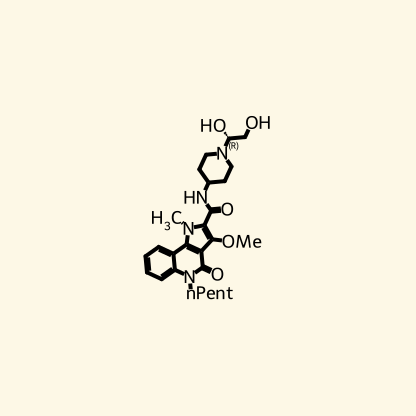 CCCCCn1c(=O)c2c(OC)c(C(=O)NC3CCN([C@H](O)CO)CC3)n(C)c2c2ccccc21